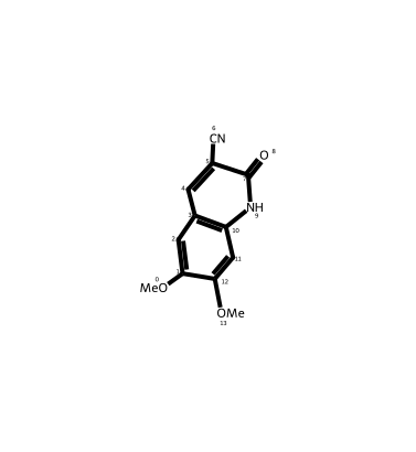 COc1cc2cc(C#N)c(=O)[nH]c2cc1OC